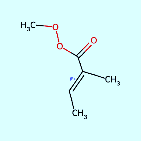 C/C=C(\C)C(=O)OOC